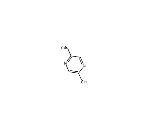 CCCCc1cnc(C)cn1